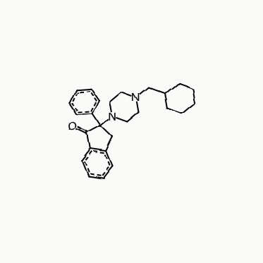 O=C1c2ccccc2CC1(c1ccccc1)N1CCN(CC2CCCCC2)CC1